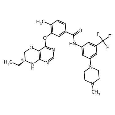 CC[C@H]1COc2c(ncnc2Oc2cc(C(=O)Nc3cc(N4CCN(C)CC4)cc(C(F)(F)F)c3)ccc2C)N1